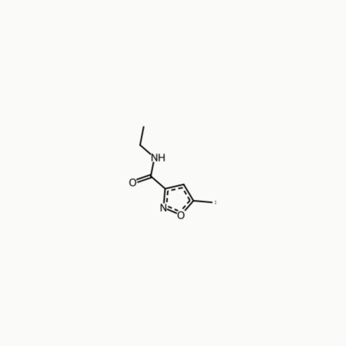 [CH]c1cc(C(=O)NCC)no1